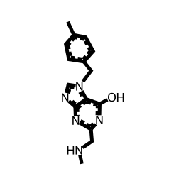 CNCc1nc(O)c2c(ncn2Cc2ccc(C)cc2)n1